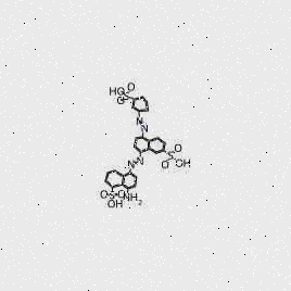 Nc1ccc(/N=N/c2ccc(/N=N/c3cccc(S(=O)(=O)O)c3)c3ccc(S(=O)(=O)O)cc23)c2cccc(S(=O)(=O)O)c12